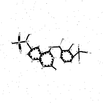 Cc1nc(N[C@H](C)c2cccc(C(F)(F)F)c2C)c2cc(N(C)S(C)(=O)=O)cnc2n1